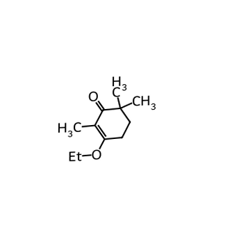 CCOC1=C(C)C(=O)C(C)(C)CC1